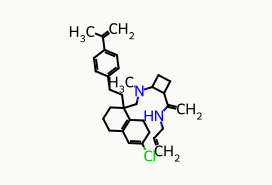 C=CCNC(=C)C1CCC1N(C)CC1(CCc2ccc(C(=C)C)cc2)CCCC2=C1CCC(Cl)=C2